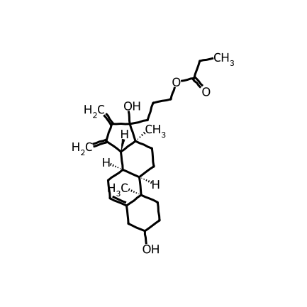 C=C1C(=C)C(O)(CCCOC(=O)CC)[C@@]2(C)CC[C@@H]3[C@@H](CC=C4CC(O)CC[C@@]43C)[C@H]12